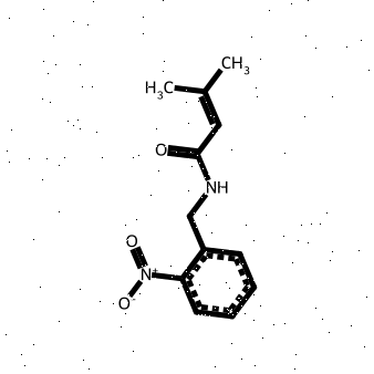 CC(C)=CC(=O)NCc1ccccc1[N+](=O)[O-]